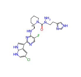 NN(CCc1c[nH]cn1)C(=O)N1CCCC[C@@H]1CNc1nc(C2=CNC3NC=C(Cl)C=C23)ncc1F